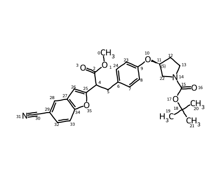 COC(=O)C(Cc1ccc(O[C@H]2CCN(C(=O)OC(C)(C)C)C2)cc1)c1cc2cc(C#N)ccc2o1